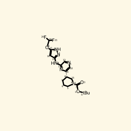 CC(C)(C)OC(=O)N1CCC[C@H](c2cncc(Nc3cc(OC(F)F)[nH]n3)n2)C1